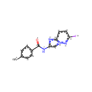 CCCc1ccc(C(=O)Nc2cn3nc(I)ccc3n2)cc1